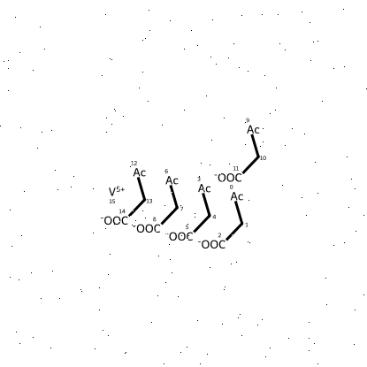 CC(=O)CC(=O)[O-].CC(=O)CC(=O)[O-].CC(=O)CC(=O)[O-].CC(=O)CC(=O)[O-].CC(=O)CC(=O)[O-].[V+5]